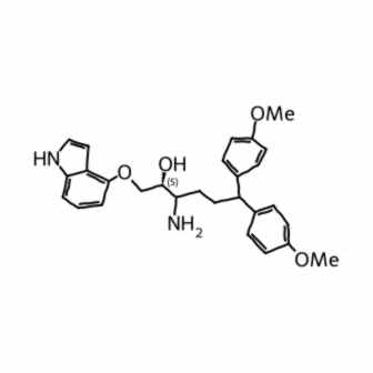 COc1ccc(C(CCC(N)[C@H](O)COc2cccc3[nH]ccc23)c2ccc(OC)cc2)cc1